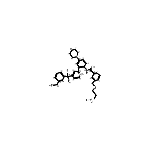 O=C(O)CCSCc1cccc(C(=O)Nc2ccc(N3CCCCC3)cc2-c2cc(C(F)(F)c3cccc(CF)c3)ccn2)c1